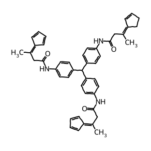 CC(CC(=O)Nc1ccc(C(c2ccc(NC(=O)CC(C)=C3C=CC=C3)cc2)c2ccc(NC(=O)C/C(C)=C3\C=CCC3)cc2)cc1)=C1C=CC=C1